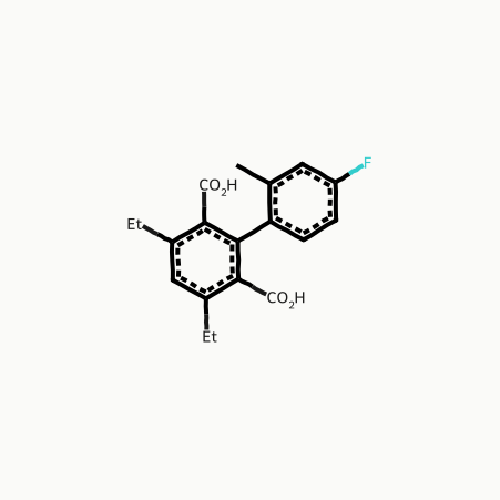 CCc1cc(CC)c(C(=O)O)c(-c2ccc(F)cc2C)c1C(=O)O